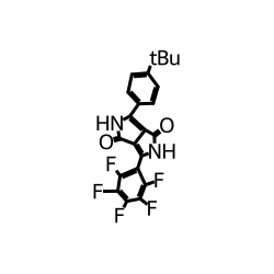 CC(C)(C)c1ccc(C2=C3C(=O)NC(c4c(F)c(F)c(F)c(F)c4F)=C3C(=O)N2)cc1